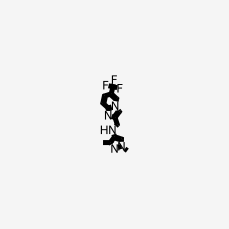 Cc1nn(C)cc1NCc1cn2cc(C(F)(F)F)ccc2n1